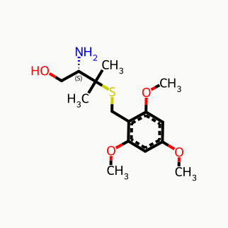 COc1cc(OC)c(CSC(C)(C)[C@@H](N)CO)c(OC)c1